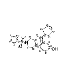 O=S(=O)(c1cccs1)N1CCN(c2ccc(O)cc2)[C@@H](CNC2CCOCC2)C1